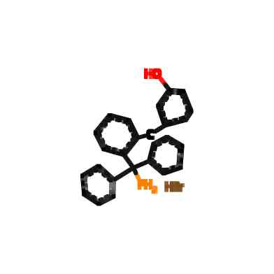 Br.Oc1cccc(Cc2ccccc2C(P)(c2ccccc2)c2ccccc2)c1